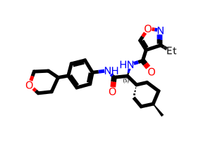 CCc1nocc1C(=O)N[C@H](C(=O)Nc1ccc(C2CCOCC2)cc1)[C@H]1CC[C@H](C)CC1